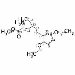 CCOc1ccc(OCC)c(CCC(CC)CC(N)C(=O)OC)c1